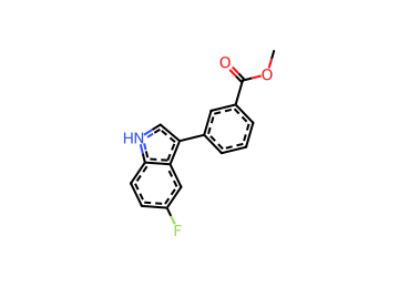 COC(=O)c1cccc(-c2c[nH]c3ccc(F)cc23)c1